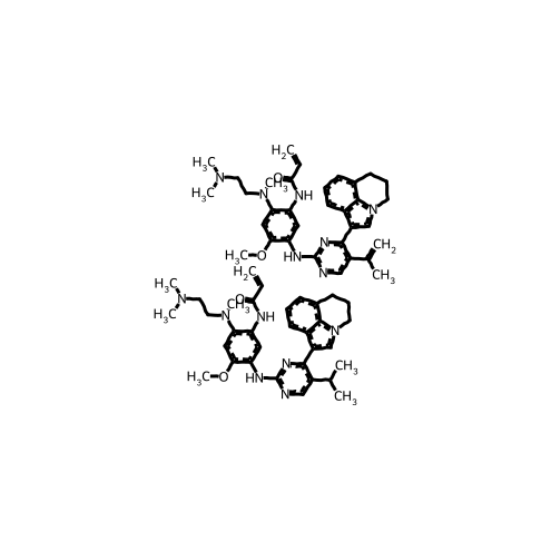 C=CC(=O)Nc1cc(Nc2ncc(C(=C)C)c(-c3cn4c5c(cccc35)CCC4)n2)c(OC)cc1N(C)CCN(C)C.C=CC(=O)Nc1cc(Nc2ncc(C(C)C)c(-c3cn4c5c(cccc35)CCC4)n2)c(OC)cc1N(C)CCN(C)C